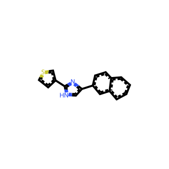 c1ccc2cc(-c3c[nH]c(-c4ccsc4)n3)ccc2c1